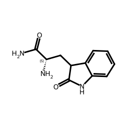 NC(=O)[C@@H](N)CC1C(=O)Nc2ccccc21